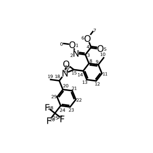 CON=C(C(=O)OC)c1c(C)cccc1C1ON1C(C)c1cccc(C(F)(F)F)c1